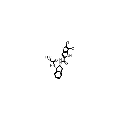 C=CC(=O)N[C@H]1c2ccccc2C[C@@H]1NC(=O)c1cc2sc(Cl)c(Cl)c2[nH]1